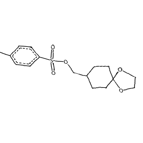 Cc1ccc(S(=O)(=O)OCC2CCC3(CC2)OCCO3)cc1